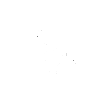 CN(C)CCc1c2c(c3occ(-c4ccc5cn[nH]c5c4)c(=O)c3c1O)C=CC(C)(C)O2